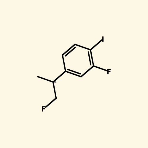 C[C](CF)c1ccc(I)c(F)c1